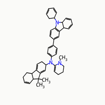 CN1CCCC=C1N(c1ccc(-c2ccc3c(c2)C2C=CC=CC2N3C2C=CC=CC2)cc1)C1C=C2C(=CC1)C1CCC=CC1C2(C)C